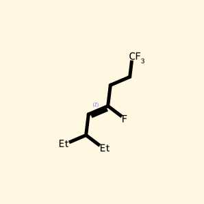 CCC(/C=C(\F)CCC(F)(F)F)CC